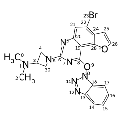 CN(C)C1CN(c2nc(On3nnc4ccccc43)c3c(cc(Br)c4ccoc43)n2)C1